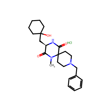 CN1C(=O)[C@@H](CC2(O)CCCCC2)NC(=O)C12CCN(Cc1ccccc1)CC2.Cl